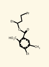 CCc1cc(C(=O)O)c(C(=O)OC(CC)CCC(C)C)cc1C